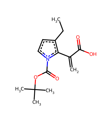 C=C(C(=O)O)c1c(CC)ccn1C(=O)OC(C)(C)C